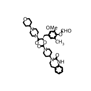 COc1cc(C[C@@H](OC(=O)N2CCC(N3CCc4ccccc4NC3=O)CC2)C(=O)N2CCN(C3CCOCC3)CC2)cc(C)c1OC=O